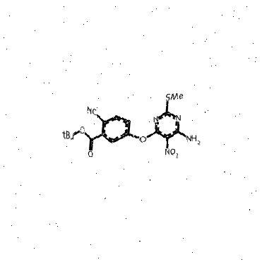 CSc1nc(N)c([N+](=O)[O-])c(Oc2ccc(C#N)c(C(=O)OC(C)(C)C)c2)n1